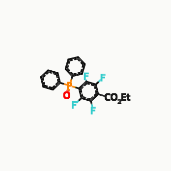 CCOC(=O)c1c(F)c(F)c(P(=O)(c2ccccc2)c2ccccc2)c(F)c1F